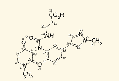 CN1C=CC(=O)[C@H](N(C(=O)NCCC(=O)O)c2cccc(-c3cnn(C)c3)c2)C1=O